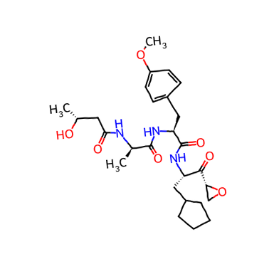 COc1ccc(C[C@H](NC(=O)[C@@H](C)NC(=O)C[C@@H](C)O)C(=O)N[C@@H](CC2CCCC2)C(=O)[C@H]2CO2)cc1